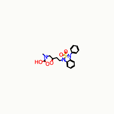 CN(CC(=O)CCN1c2ccccc2N(c2ccccc2)S1(=O)=O)C(=O)O